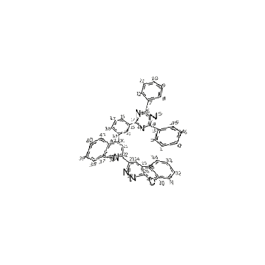 c1ccc(-c2nc(-c3ccccc3)nc(-c3cccc(-c4cc(-c5cc6c(nn5)oc5ccccc56)nc5ccccc45)c3)n2)cc1